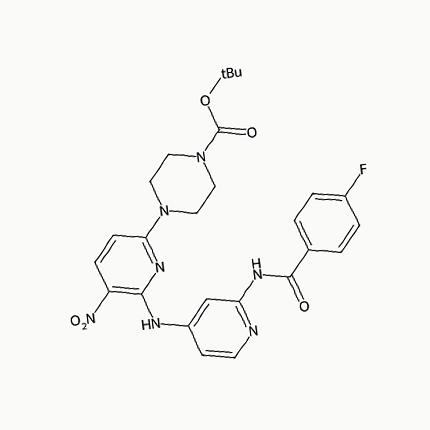 CC(C)(C)OC(=O)N1CCN(c2ccc([N+](=O)[O-])c(Nc3ccnc(NC(=O)c4ccc(F)cc4)c3)n2)CC1